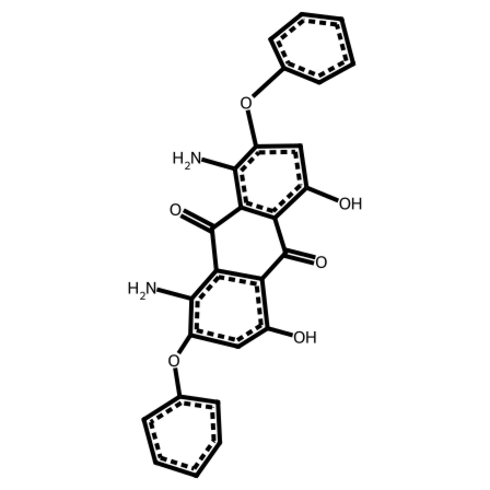 Nc1c(Oc2ccccc2)cc(O)c2c1C(=O)c1c(N)c(Oc3ccccc3)cc(O)c1C2=O